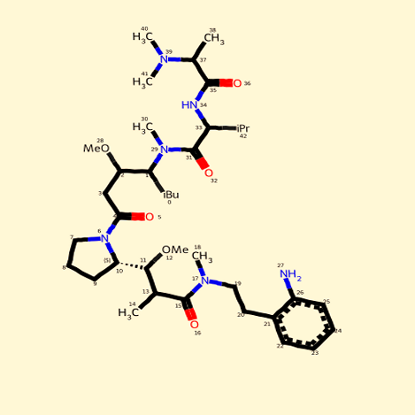 CCC(C)C(C(CC(=O)N1CCC[C@H]1C(OC)C(C)C(=O)N(C)CCc1ccccc1N)OC)N(C)C(=O)C(NC(=O)C(C)N(C)C)C(C)C